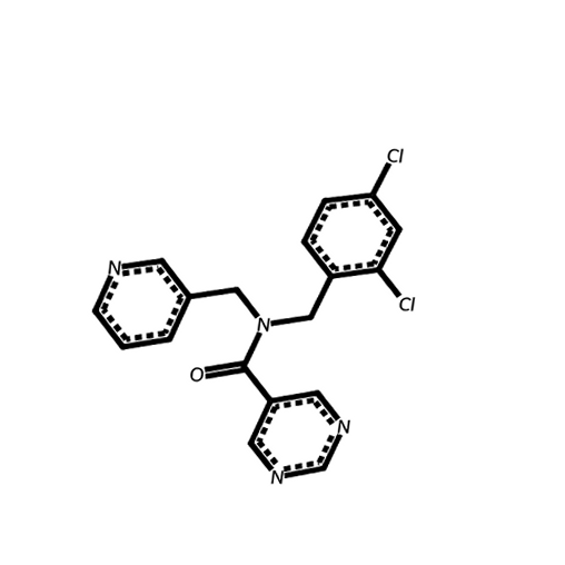 O=C(c1cncnc1)N(Cc1cccnc1)Cc1ccc(Cl)cc1Cl